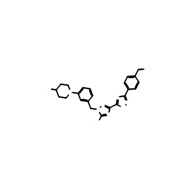 Cc1nc(-c2nc(-c3ccc(CC(F)(F)F)cc3)no2)nn1Cc1cccc(N2CCC(C)CC2)c1